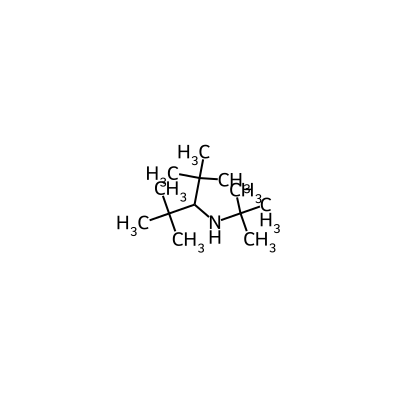 CC(C)(C)NC(C(C)(C)C)C(C)(C)C